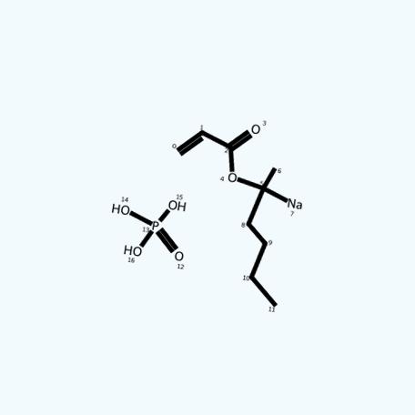 C=CC(=O)O[C](C)([Na])CCCC.O=P(O)(O)O